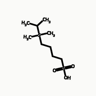 CC(C)S(C)(C)CCCCS(=O)(=O)O